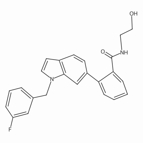 O=C(NCCO)c1ccccc1-c1ccc2ccn(Cc3cccc(F)c3)c2c1